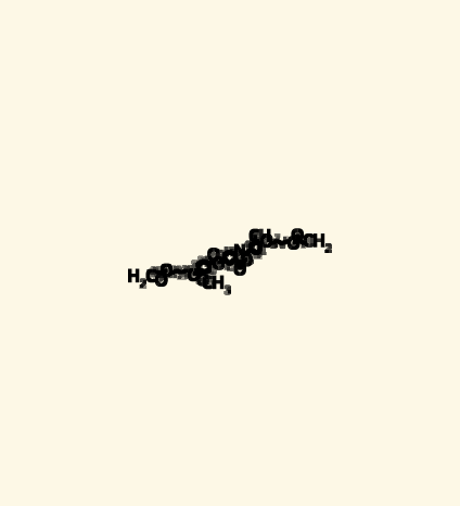 C=CC(=O)OCCCCOc1ccc(-c2nc3ccc(OC(=O)c4ccc(OCCCCOC(=O)C=C)c(OC)c4)cc3c(=O)o2)cc1C